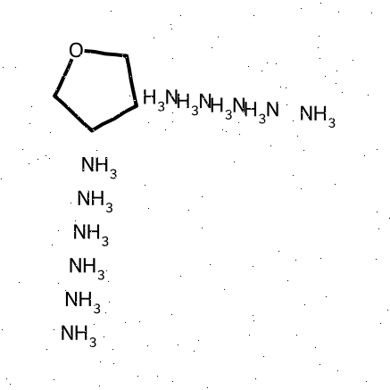 C1CCOC1.N.N.N.N.N.N.N.N.N.N.N